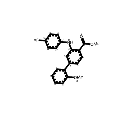 COC(=O)c1ccc(-c2ccccc2OC)cc1Nc1ccc(F)cc1